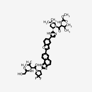 COC(=O)N[C@H](C(=O)N1C[Si](C)(C)C[C@H]1c1ncc(-c2ccc3oc(-c4ccc5c(ccc6nc([C@@H]7CC(F)(F)CN7C(=O)[C@@H](NC(=O)CO)C(C)C)[nH]c65)c4)cc3c2)[nH]1)C(C)C